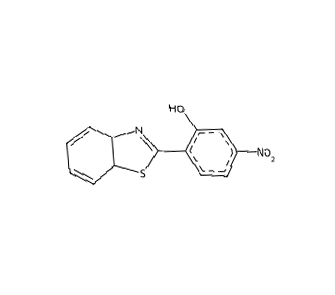 O=[N+]([O-])c1ccc(C2=NC3C=CC=CC3S2)c(O)c1